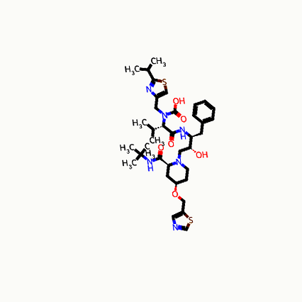 CC(C)c1nc(CN(C(=O)O)[C@H](C(=O)N[C@@H](Cc2ccccc2)[C@H](O)CN2CC[C@@H](OCc3cncs3)C[C@H]2C(=O)NC(C)(C)C)C(C)C)cs1